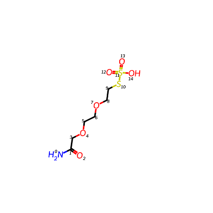 NC(=O)COCCOCCSS(=O)(=O)O